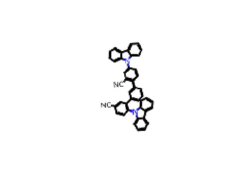 N#Cc1ccc(-n2c3ccccc3c3ccccc32)c(-c2cccc(-c3ccc(-n4c5ccccc5c5ccccc54)cc3C#N)c2)c1